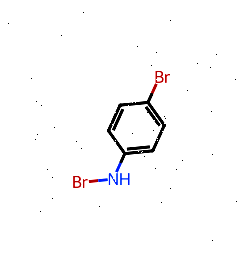 BrNc1ccc(Br)cc1